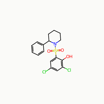 O=S(=O)(c1cc(Cl)cc(Cl)c1O)N1CCCCC1c1ccccc1